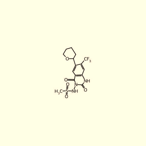 CS(=O)(=O)Nn1c(=O)[nH]c2cc(C(F)(F)F)c(C3CCCCO3)cc2c1=O